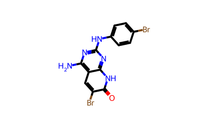 Nc1nc(Nc2ccc(Br)cc2)nc2[nH]c(=O)c(Br)cc12